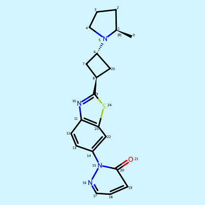 C[C@@H]1CCCN1[C@H]1C[C@H](c2nc3ccc(-n4ncccc4=O)cc3s2)C1